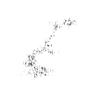 CC[C@H](C)C(C(CC(=O)N1CCCC1C(OC)C(C)C(=O)NC(Cc1ccccc1)C(=O)NCc1ccc(NC(=O)C(CCCNC(N)=O)NC(=O)CNC(=O)COCCOCCOCC(=O)N2CCC(C(=O)OC(=C(/C)F)/C(F)=C(F)\C(F)=C\F)CC2C)cc1)OC)N(C)C(=O)CNC(=O)C(C(C)C)N(C)C